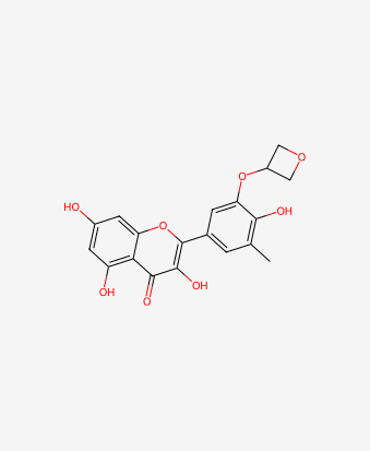 Cc1cc(-c2oc3cc(O)cc(O)c3c(=O)c2O)cc(OC2COC2)c1O